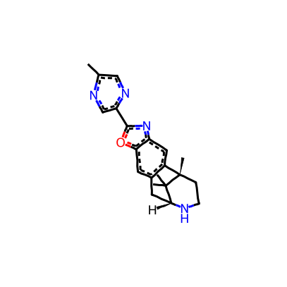 Cc1cnc(-c2nc3cc4c(cc3o2)C[C@H]2NCC[C@]4(C)C2(C)C)cn1